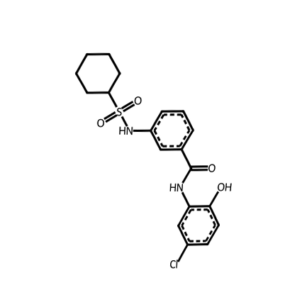 O=C(Nc1cc(Cl)ccc1O)c1cccc(NS(=O)(=O)C2CCCCC2)c1